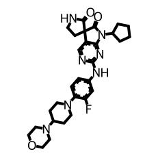 O=C1NCCC12C(=O)N(C1CCCC1)c1nc(Nc3ccc(N4CCC(N5CCOCC5)CC4)c(F)c3)ncc12